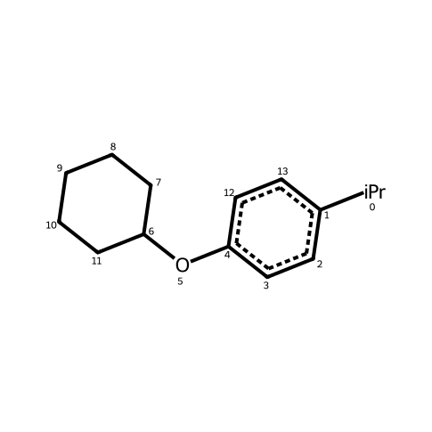 CC(C)c1ccc(OC2CCCCC2)cc1